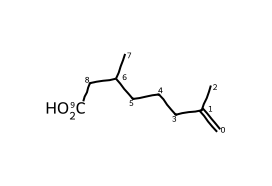 C=C(C)CCCC(C)CC(=O)O